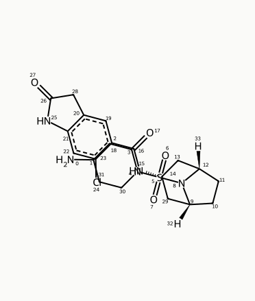 NC1CCN(S(=O)(=O)N2[C@@H]3CC[C@H]2C[C@@H](NC(=O)c2cc4c(cc2Cl)NC(=O)C4)C3)CC1